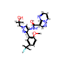 COc1ccc(C(C)(C)F)cc1-c1nn(CC(C)(C)O)cc1NC(=O)c1cnn2cccnc12